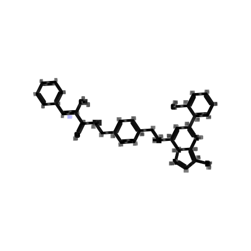 C/C(=C\c1ccccc1)C(=O)NCc1ccc(CNc2cc(-c3ccccc3Cl)nc3c(Br)cnn23)cc1